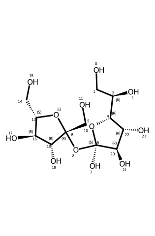 OC[C@@H](O)[C@H]1O[C@](O)(O[C@@]2(CO)O[C@@H](CO)[C@H](O)[C@H]2O)[C@H](O)[C@H]1O